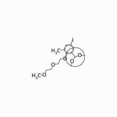 COCCOCCOc1c(C)cc(I)cc1C1OC2CCCCCCCC(CCC2)O1